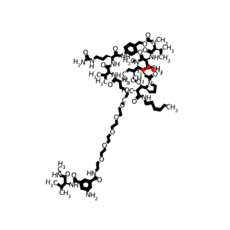 CC/C=C\C=CNC(=O)[C@H](C)[C@@H](OC)[C@@H]1CCCN1C(=O)C[C@@H](OC)[C@H]([C@@H](C)CC)N(C)C(=O)[C@@H](NC(=O)[C@H](C(C)C)N(C)C(=O)OCc1ccc(NC(=O)[C@H](CCCNC(N)=O)NC(=O)[C@@H](NC(=O)CCOCCOCCOCCOCCOCCOCCNC(=O)c2cc(N)cc(C(=O)N[C@H](C(=O)NC)C(C)C)c2)C(C)C)cc1)C(C)C